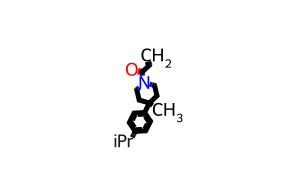 C=CC(=O)N1CCC(C)(c2ccc(C(C)C)cc2)CC1